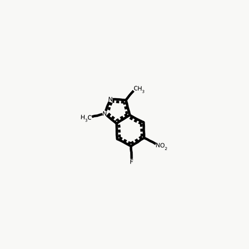 Cc1nn(C)c2cc(F)c([N+](=O)[O-])cc12